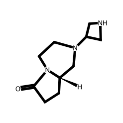 O=C1CC[C@H]2CN(C3CNC3)CCN12